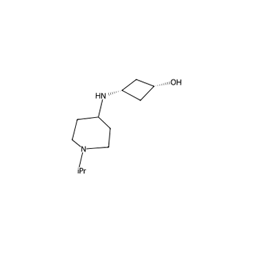 CC(C)N1CCC(N[C@H]2C[C@@H](O)C2)CC1